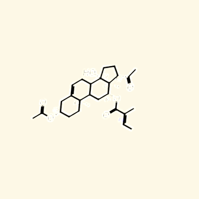 C/C=C(\C)C(=O)O[C@@H]1CC2C(CC=C3C[C@@H](OC(C)=O)CC[C@@]32C)[C@@]2(O)CC[C@H](C(C)=O)[C@@]12C